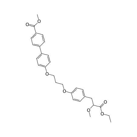 CCOC(=O)C(Cc1ccc(OCCCOc2ccc(-c3ccc(C(=O)OC)cc3)cc2)cc1)OC